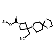 CC(C)(C)OC(=O)N1CC(CC#N)(N2CCC3(CC2)OCCO3)C1